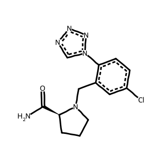 NC(=O)[C@@H]1CCCN1Cc1cc(Cl)ccc1-n1cnnn1